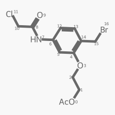 CC(=O)OCCOc1cc(NC(=O)CCl)ccc1CBr